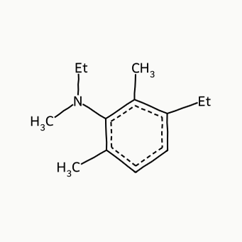 CCc1ccc(C)c(N(C)CC)c1C